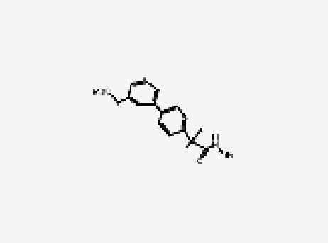 CCCNC(=O)C(C)(C)c1ccc(-c2cncc(COC)c2)cc1